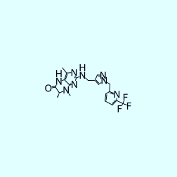 Cc1nc(NCc2cnn(Cc3cccc(C(F)(F)F)n3)c2)nc2c1NC(=O)[C@H](C)N2C